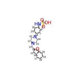 O=S(=O)(O)Nc1ccc(N2CCN(Cc3cc4ccccc4o3)CC2)cc1